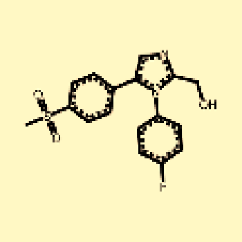 CS(=O)(=O)c1ccc(-c2cnc(CO)n2-c2ccc(F)cc2)cc1